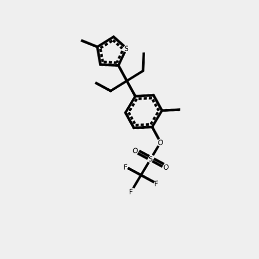 CCC(CC)(c1ccc(OS(=O)(=O)C(F)(F)F)c(C)c1)c1cc(C)cs1